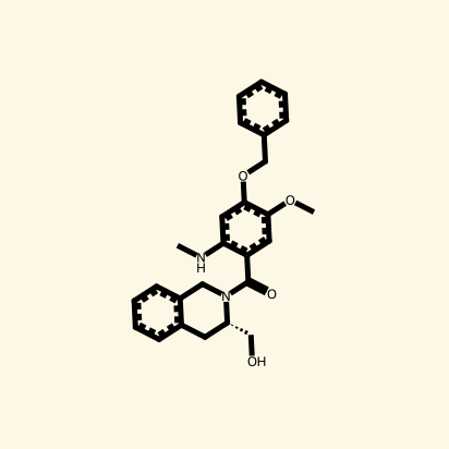 CNc1cc(OCc2ccccc2)c(OC)cc1C(=O)N1Cc2ccccc2C[C@H]1CO